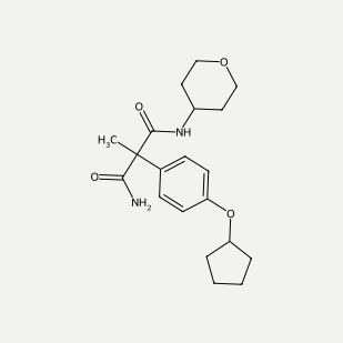 CC(C(N)=O)(C(=O)NC1CCOCC1)c1ccc(OC2CCCC2)cc1